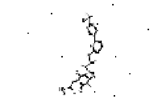 CNC(=O)Cn1c(=O)c2c(ncn2[C@@H](C)C(=O)Nc2cccc(-c3cnc(C(F)(F)F)nc3)n2)n(C)c1=O